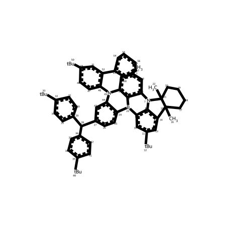 Cc1cc2c3c(c1)N1c4c(cc(C(C)(C)C)cc4C4(C)CCCCC14C)B3c1ccc(C(c3ccc(C(C)(C)C)cc3)c3ccc(C(C)(C)C)cc3)cc1N2c1ccc(C(C)(C)C)cc1-c1ccccc1